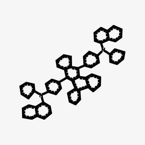 c1ccc(N(c2ccc(-c3c4ccccc4c(-c4ccc(N(c5ccccc5)c5cccc6ccccc56)cc4)c4c5ccccc5c5ccccc5c34)cc2)c2cccc3ccccc23)cc1